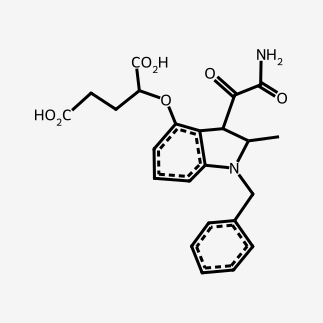 CC1C(C(=O)C(N)=O)c2c(OC(CCC(=O)O)C(=O)O)cccc2N1Cc1ccccc1